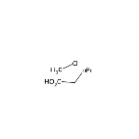 CCCCC(=O)O.CCl